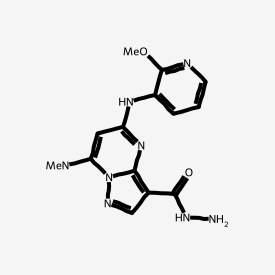 CNc1cc(Nc2cccnc2OC)nc2c(C(=O)NN)cnn12